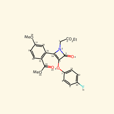 CCOC(=O)CN1C(=O)C(Oc2ccc(F)cc2)=C1c1cc(OC)ccc1C(=O)OC